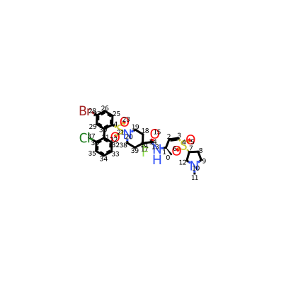 C[C@H](/C=C\S(=O)(=O)[C@H]1CCN(C)C1)NC(=O)C1(F)CCN(S(=O)(=O)c2ccc(Br)cc2-c2ccccc2Cl)CC1